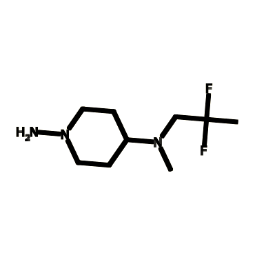 CN(CC(C)(F)F)C1CCN(N)CC1